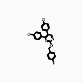 Fc1ccc(COc2ncc(-c3ccc(Cl)cc3)c(-c3ccc(Cl)cc3)n2)cc1